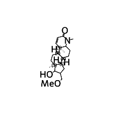 COCC1C[C@H]2[C@@H]3CCC4N(C)C(=O)C=C[C@]4(C)[C@@H]3CC[C@]2(C)C1O